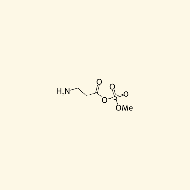 COS(=O)(=O)OC(=O)CCN